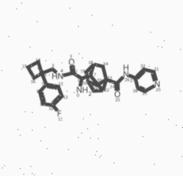 NC(C(=O)NCC1(c2ccc(F)cc2)CCC1)C1C2CC3CC1C(C(=O)Nc1ccncc1)(C3)C2